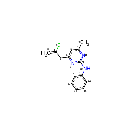 C=C(Cl)Cc1cc(C)nc(Nc2ccccc2)n1